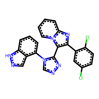 Clc1ccc(Cl)c(-c2nc3ccccn3c2-c2nncn2-c2cccc3[nH]ncc23)c1